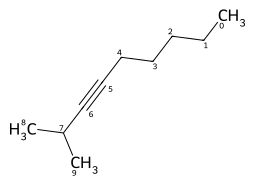 CCCCCC#CC(C)C